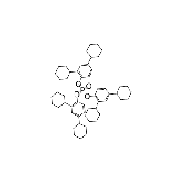 O=P(Oc1ccc(C2CCCCC2)cc1C1CCCCC1)(Oc1ccc(C2CCCCC2)cc1C1CCCCC1)Oc1ccc(C2CCCCC2)cc1C1CCCCC1